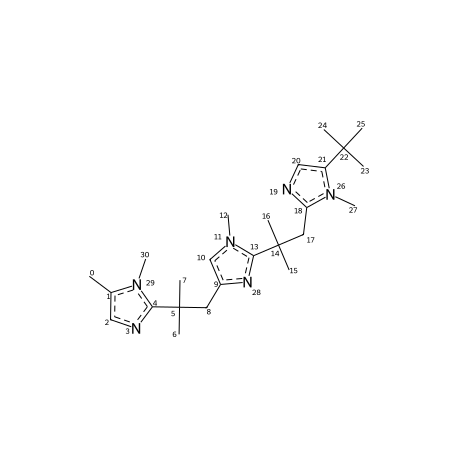 Cc1cnc(C(C)(C)Cc2cn(C)c(C(C)(C)Cc3ncc(C(C)(C)C)n3C)n2)n1C